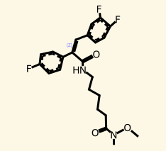 CON(C)C(=O)CCCCCNC(=O)/C(=C\c1ccc(F)c(F)c1)c1ccc(F)cc1